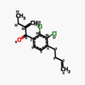 C=CCCc1ccc(C(=O)C(=C)CC)c(Cl)c1Cl